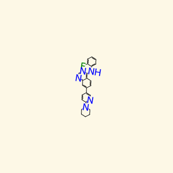 Fc1ccccc1Nc1ncnc2cc(-c3ccc(N4CCCCC4)nc3)ccc12